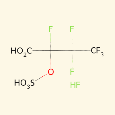 F.O=C(O)C(F)(OS(=O)(=O)O)C(F)(F)C(F)(F)F